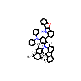 Cc1cc2c(cc1N1c3cc(N(c4ccccc4)c4ccccc4)cc(-c4cccc5c4[nH]c4c6ccccc6oc54)c3Bc3ccc4c(c31)C(C)(C)c1ccccc1-4)C(C)(C)CCC2(C)C